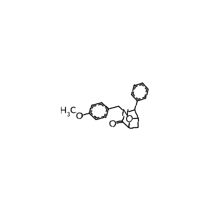 COc1ccc(CN2C(=O)C3CC(O3)C2c2ccccc2)cc1